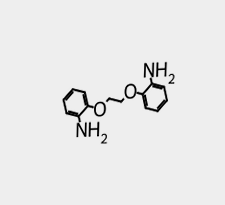 Nc1ccccc1OCCOc1ccccc1N